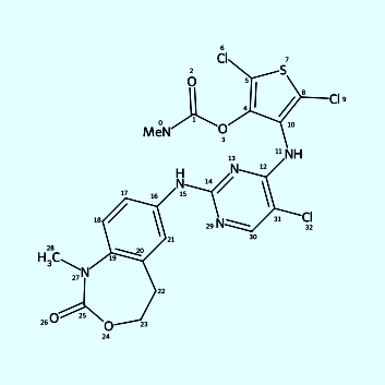 CNC(=O)Oc1c(Cl)sc(Cl)c1Nc1nc(Nc2ccc3c(c2)CCOC(=O)N3C)ncc1Cl